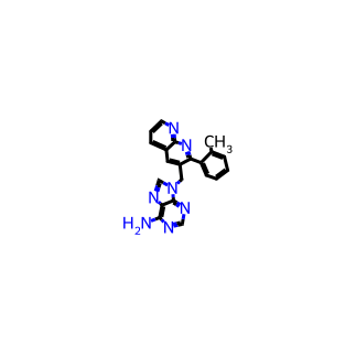 Cc1ccccc1-c1nc2ncccc2cc1Cn1cnc2c(N)ncnc21